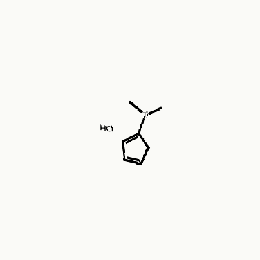 Cl.[CH3][Ti]([CH3])[C]1=CC=CC1